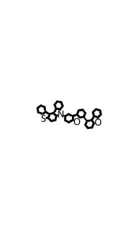 c1ccc2c(c1)oc1cccc(-c3cccc4c3oc3ccc(-n5c6ccccc6c6c7c(ccc65)sc5ccccc57)cc34)c12